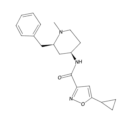 CN1CC[C@@H](NC(=O)c2cc(C3CC3)on2)C[C@H]1Cc1ccccc1